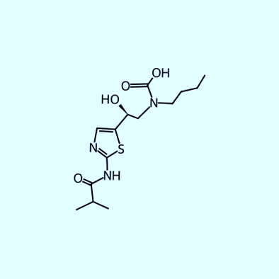 CCCCN(C[C@H](O)c1cnc(NC(=O)C(C)C)s1)C(=O)O